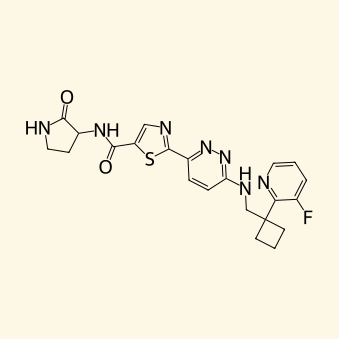 O=C(NC1CCNC1=O)c1cnc(-c2ccc(NCC3(c4ncccc4F)CCC3)nn2)s1